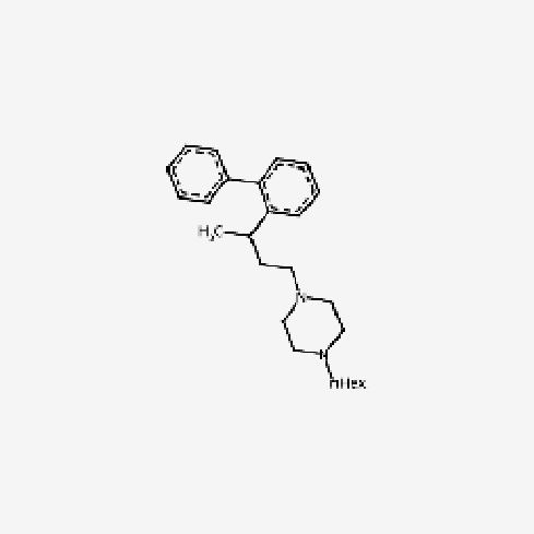 CCCCCCN1CCN(CCC(C)c2ccccc2-c2ccccc2)CC1